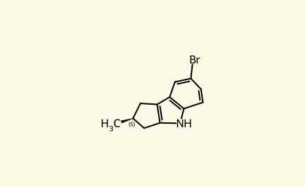 C[C@@H]1Cc2[nH]c3ccc(Br)cc3c2C1